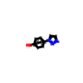 OC12CCC(n3ccnn3)(CC1)CC2